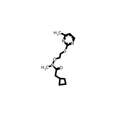 Cc1ccnc(SCCON(C)C(=O)CC2CCC2)n1